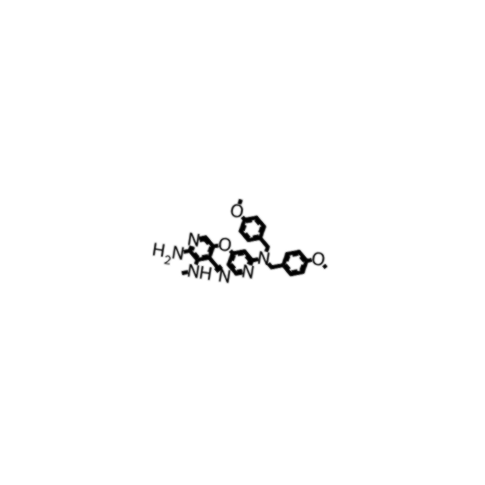 CNc1c(N)ncc(Oc2ccnc(N(Cc3ccc(OC)cc3)Cc3ccc(OC)cc3)c2)c1C#N